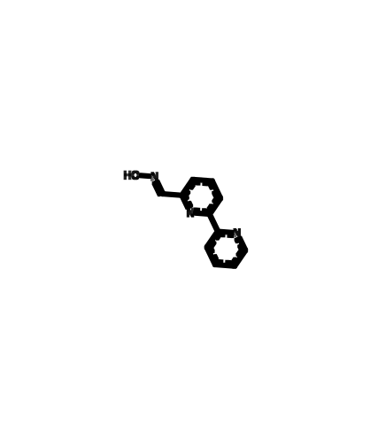 O/N=C/c1cccc(-c2ccccn2)n1